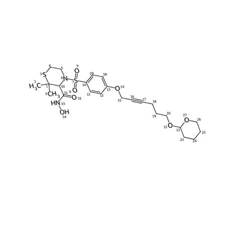 CC1(C)SCCN(S(=O)(=O)c2ccc(OCC#CCCCOC3CCCCO3)cc2)C1C(=O)NO